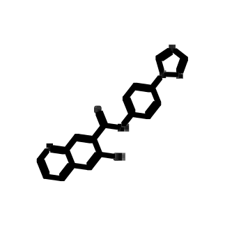 O=C(Nc1ccc(-n2cncn2)cc1)c1cc2ncccc2cc1O